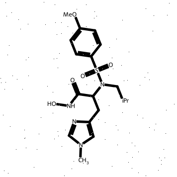 COc1ccc(S(=O)(=O)N(CC(C)C)C(Cc2cn(C)cn2)C(=O)NO)cc1